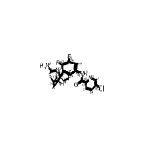 NC1=N[C@](CF)(c2cc(NC(=O)c3ccc(Cl)cn3)cc(F)c2F)[C@@H]2C[C@]2(CO)S1